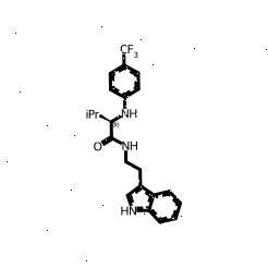 CC(C)[C@@H](Nc1ccc(C(F)(F)F)cc1)C(=O)NCCc1c[nH]c2ccccc12